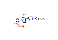 Cc1ccc(-[n+]2ccc(-c3cc[n+](-c4ccccc4CP(=O)(O)O)cc3)cc2)cc1.[Cl-].[Cl-]